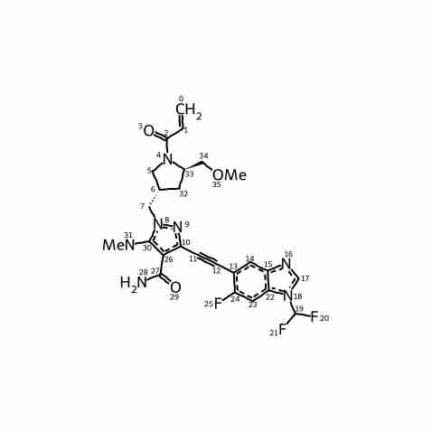 C=CC(=O)N1C[C@@H](Cn2nc(C#Cc3cc4ncn(C(F)F)c4cc3F)c(C(N)=O)c2NC)C[C@@H]1COC